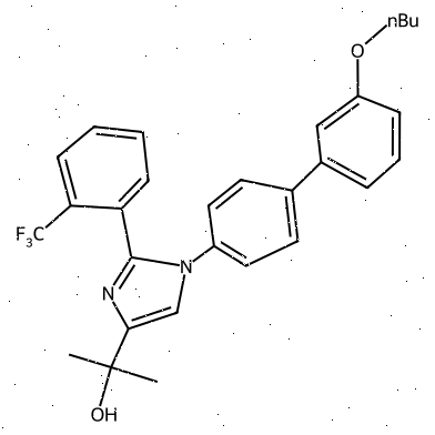 CCCCOc1cccc(-c2ccc(-n3cc(C(C)(C)O)nc3-c3ccccc3C(F)(F)F)cc2)c1